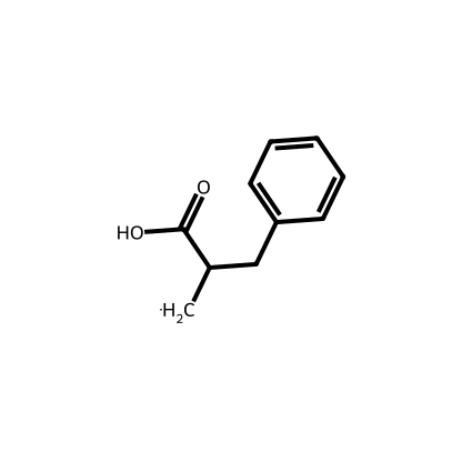 [CH2]C(Cc1ccccc1)C(=O)O